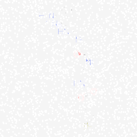 C=C/C(=N\N)Nc1cccc(CC(=O)NCCNC(=O)O[C@@H]2CCC(S)C2)n1